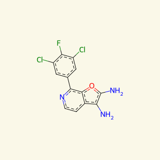 Nc1oc2c(-c3cc(Cl)c(F)c(Cl)c3)nccc2c1N